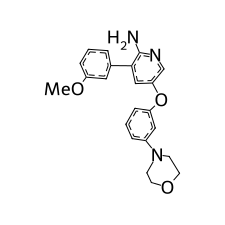 COc1cccc(-c2cc(Oc3cccc(N4CCOCC4)c3)cnc2N)c1